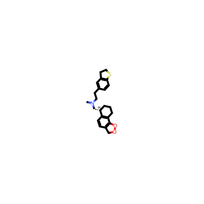 CN(CCc1ccc2c(c1)CCS2)C[C@@H]1CCCc2c1ccc1c2OOC1